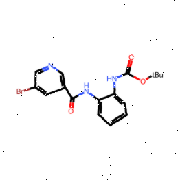 CC(C)(C)OC(=O)Nc1ccccc1NC(=O)c1cncc(Br)c1